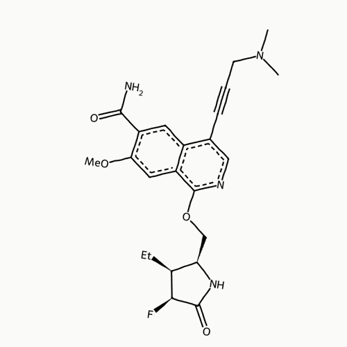 CC[C@@H]1[C@H](F)C(=O)N[C@@H]1COc1ncc(C#CCN(C)C)c2cc(C(N)=O)c(OC)cc12